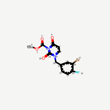 CC(C)(C)OC(=O)n1c(=O)ccn(Cc2ccc(F)c(Br)c2)c1=O